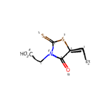 CC/C=C1/SC(=S)N(CC(=O)O)C1=O